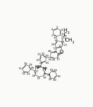 CC1(C)c2ccccc2-c2cc3c(cc21)oc1ccc(-c2cccc(C4=N/C(c5ccccc5)=C\CC/C(c5ccccc5)=N\4)c2)cc13